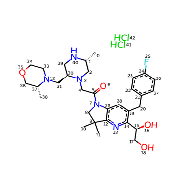 C[C@@H]1CN(CC(=O)N2CC(C)(C)c3nc([C@@H](O)CO)c(Cc4ccc(F)cc4)cc32)[C@@H](CN2CCOC[C@H]2C)CN1.Cl.Cl